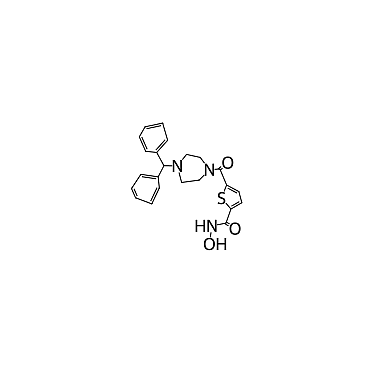 O=C(NO)c1ccc(C(=O)N2CCN(C(c3ccccc3)c3ccccc3)CC2)s1